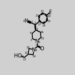 N#CC(=C1CCN(C(=O)N2CC(CO)C2)CC1)c1ccc(F)cc1